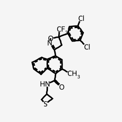 Cc1cc(C2=NOC(c3cc(Cl)cc(Cl)c3)(C(F)(F)F)C2)c2ccccc2c1C(=O)NC1CSC1